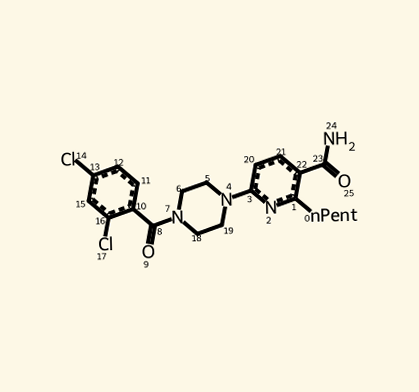 CCCCCc1nc(N2CCN(C(=O)c3ccc(Cl)cc3Cl)CC2)ccc1C(N)=O